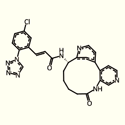 O=C(C=Cc1cc(Cl)ccc1-n1cnnn1)N[C@H]1CCCCC(=O)Nc2cnccc2-c2ccnc1c2